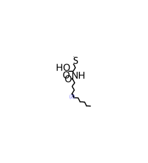 CCCCC/C=C\CCCC(=O)NC(CCSC)C(=O)O